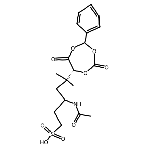 CC(=O)NC(CCS(=O)(=O)O)CC(C)(C)[C@H]1OC(=O)OC(c2ccccc2)OC1=O